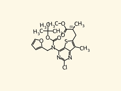 COC(=O)[C@@H](C)Cc1sc2c(N(Cc3ccco3)C(=O)OC(C)(C)C)nc(Cl)nc2c1C